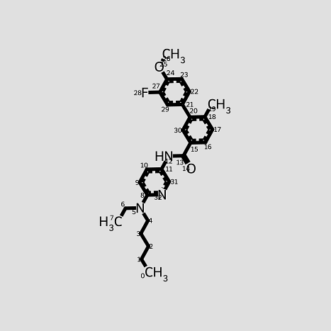 CCCCCN(CC)c1ccc(NC(=O)c2ccc(C)c(-c3ccc(OC)c(F)c3)c2)cn1